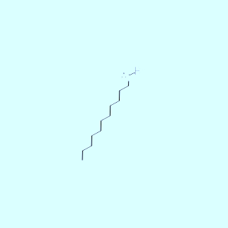 CCCCCCCCCC[CH2][AlH][Br]